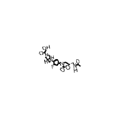 CC(=O)NC[C@H]1CN(c2ccc(N3C[C@H]4CN(C(=O)CO)C[C@H]43)c(F)c2)C(=O)O1